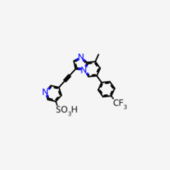 Cc1cc(-c2ccc(C(F)(F)F)cc2)cn2c(C#Cc3cncc(S(=O)(=O)O)c3)cnc12